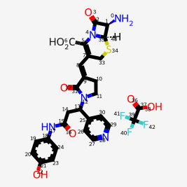 N[C@@H]1C(=O)N2C(C(=O)O)=C(/C=C3\CCN(C(CC(=O)Nc4ccc(O)cc4)c4ccncc4)C3=O)CS[C@H]12.O=C(O)C(F)(F)F